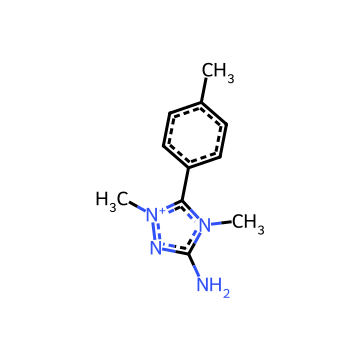 Cc1ccc(-c2n(C)c(N)n[n+]2C)cc1